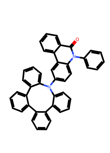 O=c1c2ccccc2c2cc(-n3c4ccccc4c4ccccc4c4ccccc4c4ccccc43)ccc2n1-c1ccccc1